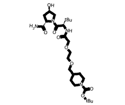 CC(C)(C)OC(=O)N1CCC(COCCOCC(=O)N[C@H](C(=O)N2C[C@H](O)C[C@H]2C(N)=O)C(C)(C)C)CC1